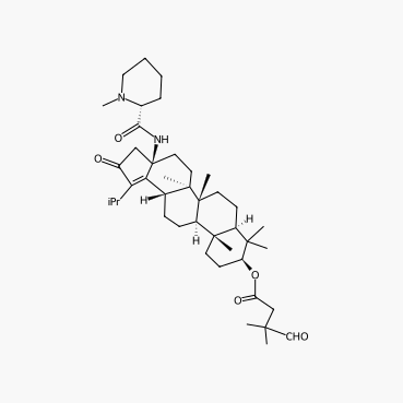 CC(C)C1=C2[C@H]3CC[C@@H]4[C@@]5(C)CC[C@H](OC(=O)CC(C)(C)C=O)C(C)(C)[C@@H]5CC[C@@]4(C)[C@]3(C)CC[C@@]2(NC(=O)[C@H]2CCCCN2C)CC1=O